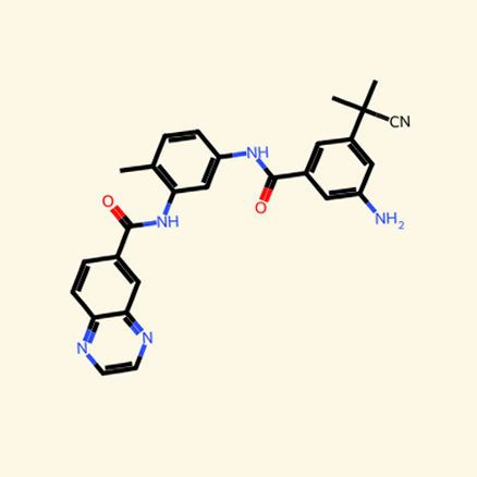 Cc1ccc(NC(=O)c2cc(N)cc(C(C)(C)C#N)c2)cc1NC(=O)c1ccc2nccnc2c1